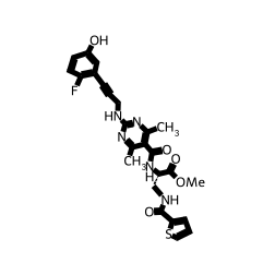 COC(=O)[C@H](CNC(=O)c1cccs1)NC(=O)c1c(C)nc(NCC#Cc2cc(O)ccc2F)nc1C